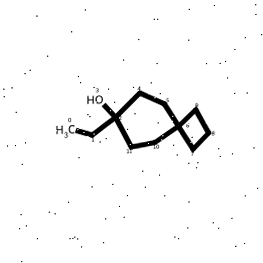 CCC1(O)CCC2(CCC2)CC1